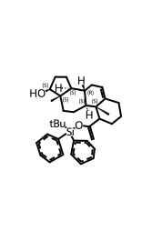 C=C(O[Si](c1ccccc1)(c1ccccc1)C(C)(C)C)C1CCCC2=CC[C@H]3[C@@H]4CC[C@H](O)[C@@]4(C)CC[C@@H]3[C@]21C